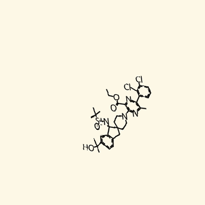 CCOC(=O)c1nc(-c2cccc(Cl)c2Cl)c(C)nc1N1CCC2(CC1)Cc1ccc(C(C)(C)O)cc1C2=N[S@+]([O-])C(C)(C)C